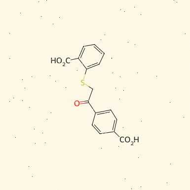 O=C(O)c1ccc(C(=O)CSc2ccccc2C(=O)O)cc1